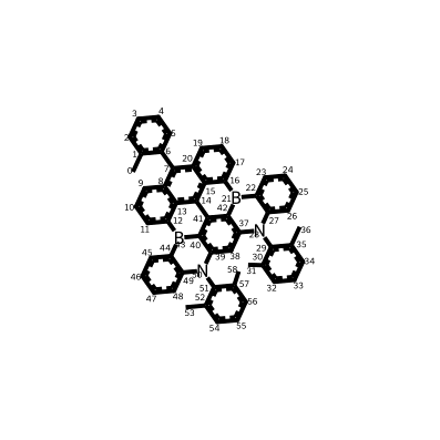 Cc1ccccc1-c1c2cccc3c2c2c4c(cccc14)B1c4ccccc4N(c4c(C)cccc4C)c4cc5c(c-2c41)B3c1ccccc1N5c1c(C)cccc1C